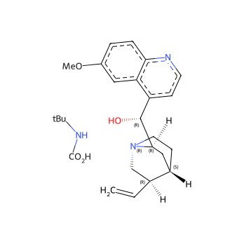 C=C[C@H]1C[N@]2CC[C@H]1C[C@@H]2[C@H](O)c1ccnc2ccc(OC)cc12.CC(C)(C)NC(=O)O